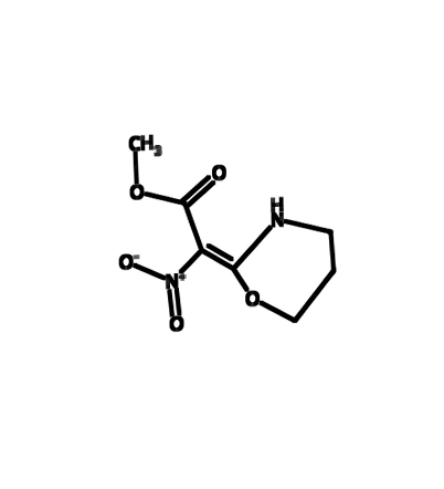 COC(=O)C(=C1NCCCO1)[N+](=O)[O-]